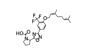 CC(C)=CCCC(C)=CCOc1ccc(-c2noc(C3CCCN3C(=O)O)n2)cc1C(F)(F)F